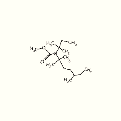 CCC(C)CCC(C)(C)N(C(=O)OC)C(C)(C)CC